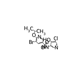 CC(C)Oc1ncc(S(=O)(=O)Nc2cncc(Cl)c2O)cc1Br